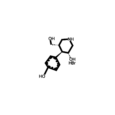 Br.OC[C@@H]1CNC[C@H](O)[C@H]1c1ccc(O)cc1